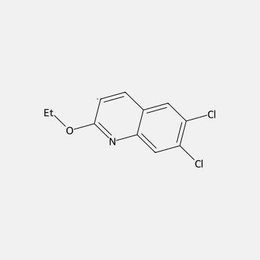 CCOc1[c]cc2cc(Cl)c(Cl)cc2n1